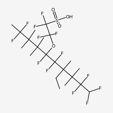 CCC(C)(C(C)(C)C(F)(F)C(F)F)C(F)(F)C(F)(OC(F)(F)C(F)(F)S(=O)(=O)O)C(C)(C)C(C)(C)C(C)(F)F